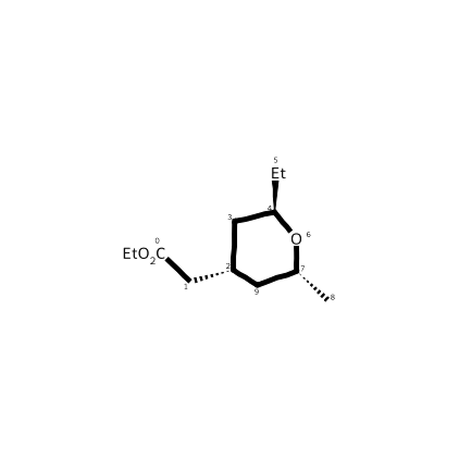 CCOC(=O)C[C@@H]1C[C@@H](CC)O[C@H](C)C1